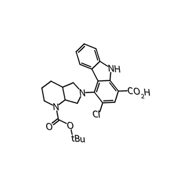 CC(C)(C)OC(=O)N1CCCC2CN(c3c(Cl)cc(C(=O)O)c4[nH]c5ccccc5c34)CC21